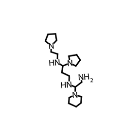 NCC(NCCC(NCCN1CCCC1)N1CCCC1)N1CCCCC1